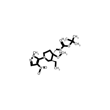 CC[C@H]1CN(c2c([N+](=O)[O-])cnn2C)CC[C@@]1(CNC(=O)OC(C)(C)C)OC